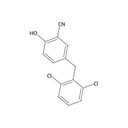 N#Cc1[c]c(Cc2c(Cl)cccc2Cl)ccc1O